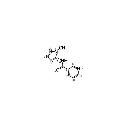 Cn1nnnc1NC(=O)c1cccnc1